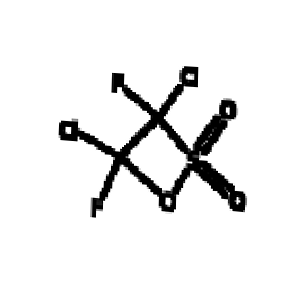 O=S1(=O)OC(F)(Cl)C1(F)Cl